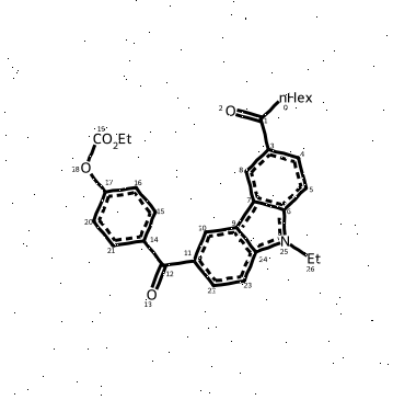 CCCCCCC(=O)c1ccc2c(c1)c1cc(C(=O)c3ccc(OC(=O)OCC)cc3)ccc1n2CC